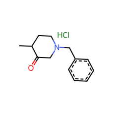 CC1CCN(Cc2ccccc2)CC1=O.Cl